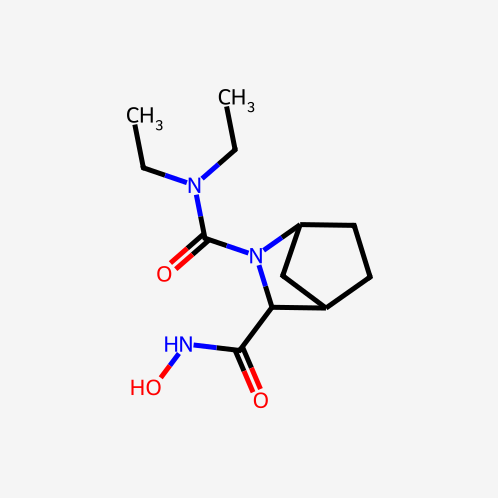 CCN(CC)C(=O)N1C2CCC(C2)C1C(=O)NO